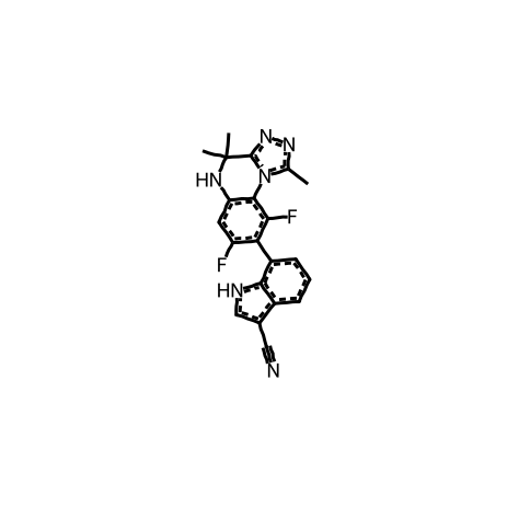 Cc1nnc2n1-c1c(cc(F)c(-c3cccc4c(C#N)c[nH]c34)c1F)NC2(C)C